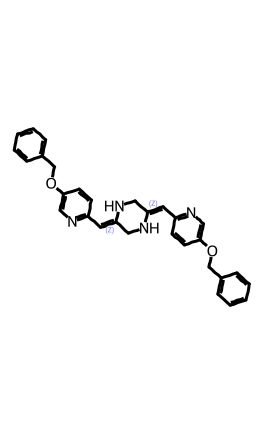 C(=C1\CN/C(=C\c2ccc(OCc3ccccc3)cn2)CN1)/c1ccc(OCc2ccccc2)cn1